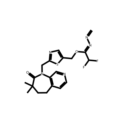 C=N/N=C(\OCc1cnc(CN2C(=O)C(C)(C)CCc3ccncc32)s1)C(F)F